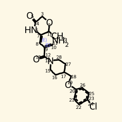 CC1OCC(=O)N/C1=C/C(=C\N)C(=O)N1CCC(COc2ccc(Cl)cc2)CC1